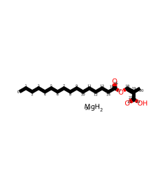 CCCCCCCCCCCCCCCC(=O)OC=C(C)C(=O)O.[MgH2]